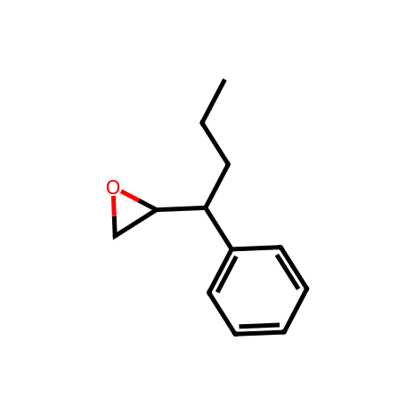 CCCC(c1ccccc1)C1CO1